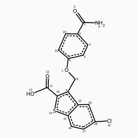 NC(=O)c1ccc(OCc2c(C(=O)O)sc3ccc(Cl)cc23)cc1